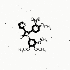 COc1ccc(C2C(c3cccs3)C(=O)N2c2cc(OC)c(OC)c(OC)c2)cc1[N+](=O)[O-]